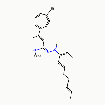 CC=CCCC=C/C(=C\C)N(C)/N=C(\C=C(/C)C1=CC=CC(CC)=C=C1)NC=O